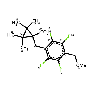 COCc1c(F)c(F)c(CC2(C(=O)O)C(C)(C)C2(C)C)c(F)c1F